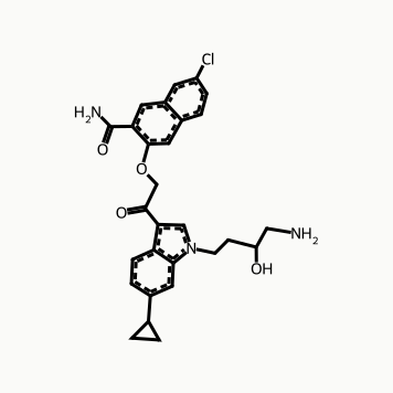 NCC(O)CCn1cc(C(=O)COc2cc3ccc(Cl)cc3cc2C(N)=O)c2ccc(C3CC3)cc21